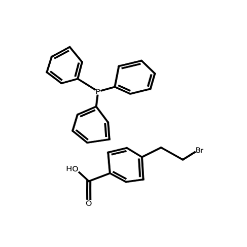 O=C(O)c1ccc(CCBr)cc1.c1ccc(P(c2ccccc2)c2ccccc2)cc1